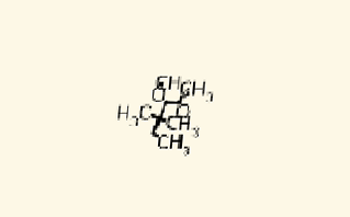 CCC(C)(C)C(OC)C(C)=O